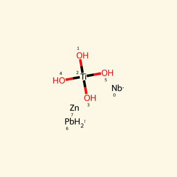 [Nb].[OH][Ti]([OH])([OH])[OH].[PbH2].[Zn]